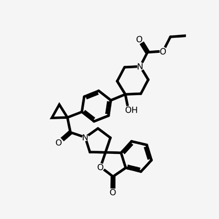 CCOC(=O)N1CCC(O)(c2ccc(C3(C(=O)N4CCC5(C4)OC(=O)c4ccccc45)CC3)cc2)CC1